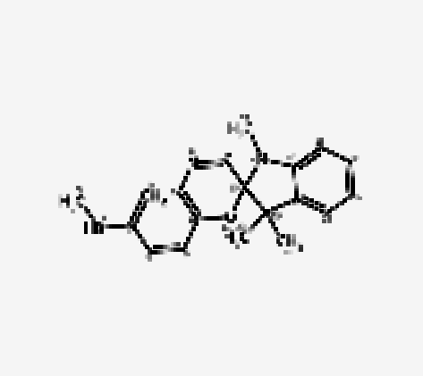 C=C(BC)/C=C\C1=CN=CC2(O1)N(C)c1ccccc1C2(C)C